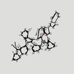 CC1(C)c2ccccc2-c2ccc(-n3c4c(c5ccccc53)C3=C(C=CCC3)N(c3ccccc3C3=CC=CC(C5=CC6C=CN=CC6C=C5)C3)c3ccccc3-4)cc21